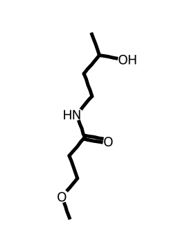 COCCC(=O)NCCC(C)O